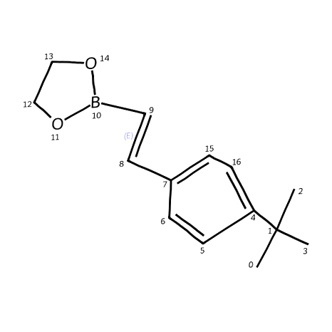 CC(C)(C)c1ccc(/C=C/B2OCCO2)cc1